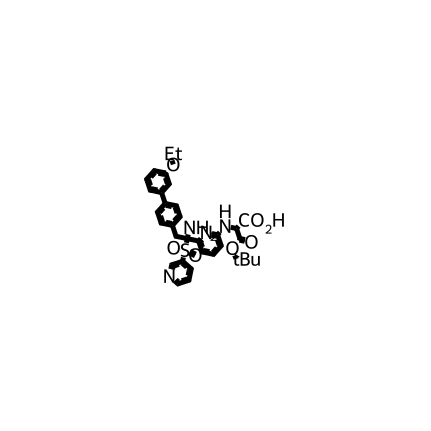 CCOc1cccc(-c2ccc(CC(N)(c3cccc(NC(C(=O)O)C(=O)OC(C)(C)C)n3)S(=O)(=O)c3cccnc3)cc2)c1